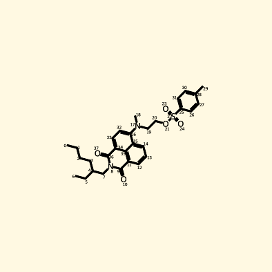 CCCCC(CC)CN1C(=O)c2cccc3c(N(C)CCOS(=O)(=O)c4ccc(C)cc4)ccc(c23)C1=O